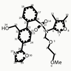 COCCOCN(c1noc(C)c1C)S(=O)(=O)c1ccccc1-c1ccc(-c2ncco2)cc1CO